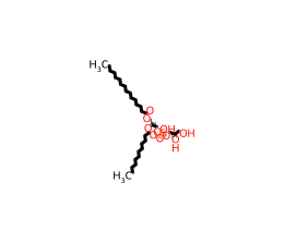 CCCCCCCCCCCCCCCC(=O)OC[C@H](COP(=O)(O)OC[C@@H](O)CO)OC(=O)CCCCCCCCCCC